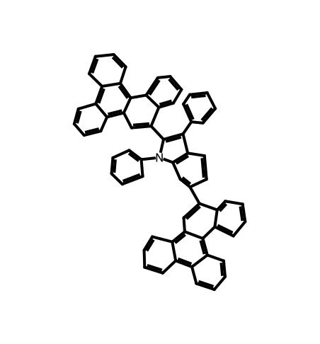 c1ccc(-c2c(-c3cc4c5ccccc5c5ccccc5c4c4ccccc34)n(-c3ccccc3)c3cc(-c4cc5c6ccccc6c6ccccc6c5c5ccccc45)ccc23)cc1